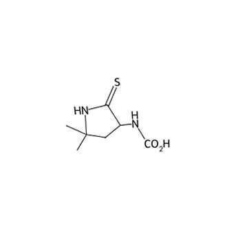 CC1(C)CC(NC(=O)O)C(=S)N1